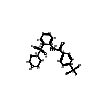 CC(F)(F)c1ccc(C(=O)Nc2ccccc2S(=O)(=O)N2CCOCC2)cc1